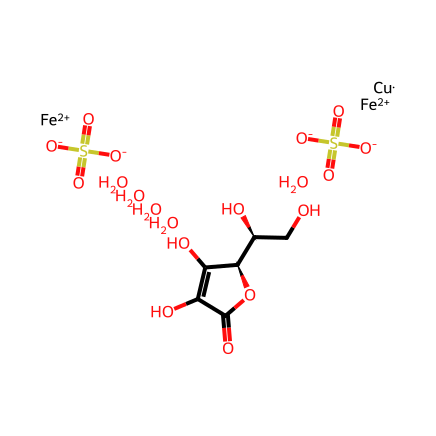 O.O.O.O.O.O=C1O[C@H]([C@@H](O)CO)C(O)=C1O.O=S(=O)([O-])[O-].O=S(=O)([O-])[O-].[Cu].[Fe+2].[Fe+2]